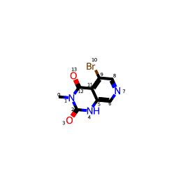 Cn1c(=O)[nH]c2cncc(Br)c2c1=O